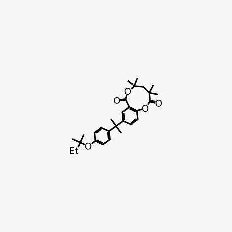 CCC(C)(C)Oc1ccc(C(C)(C)c2ccc3c(c2)C(=O)OC(C)(C)CC(C)(C)C(=O)O3)cc1